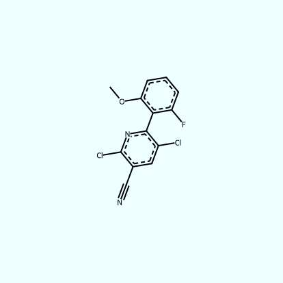 COc1cccc(F)c1-c1nc(Cl)c(C#N)cc1Cl